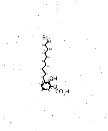 O=C(O)Oc1cccc(CCCCCCCCCCBr)c1O